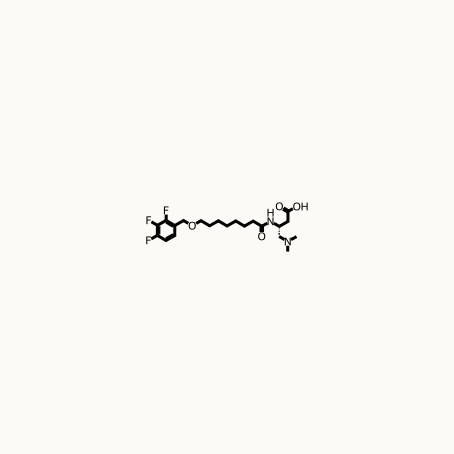 CN(C)C[C@@H](CC(=O)O)NC(=O)CCCCCCCOCc1ccc(F)c(F)c1F